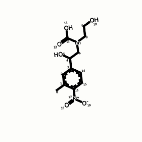 Cc1cc(C(O)CN(CCO)C(=O)O)ccc1[N+](=O)[O-]